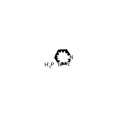 P.c1cnnnc1